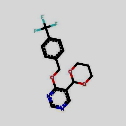 FC(F)(F)c1ccc(COc2ncncc2C2OCCCO2)cc1